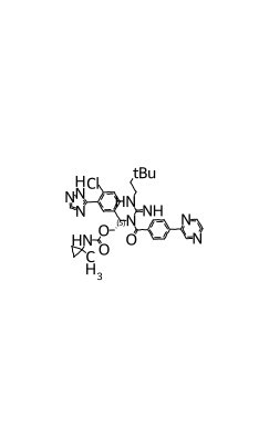 CC(C)(C)CCNC(=N)N(C(=O)c1ccc(-c2cnccn2)cc1)[C@H](COC(=O)NC1(C)CC1)c1ccc(Cl)c(-c2ncn[nH]2)c1